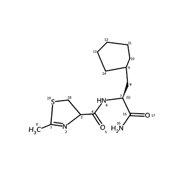 CC1=NC(C(=O)N[C@@H](CC2CCCCC2)C(N)=O)CS1